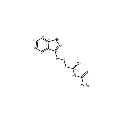 CC(=O)OC(=O)CCCc1c[nH]c2ccccc12